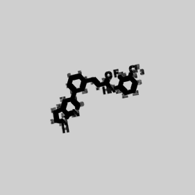 O=C(C=Cc1cccc(-c2cnc3[nH]ccc3c2)c1)Nc1cccc(C(F)(F)F)c1F